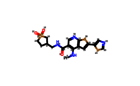 CC(C)Nc1c(C(=O)NCC2CCS(=O)(=O)C2)cnc2sc(-c3cncs3)cc12